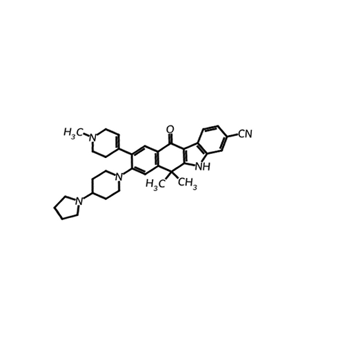 CN1CC=C(c2cc3c(cc2N2CCC(N4CCCC4)CC2)C(C)(C)c2[nH]c4cc(C#N)ccc4c2C3=O)CC1